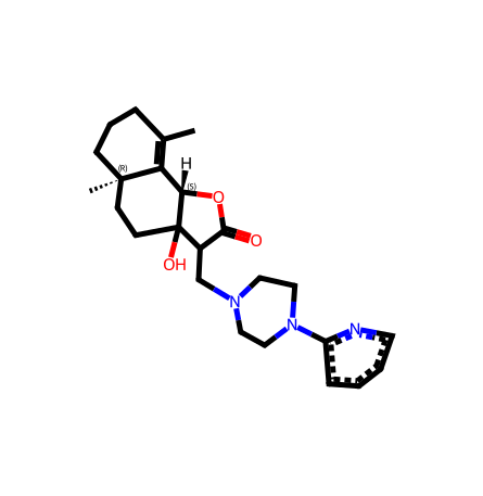 CC1=C2[C@@H]3OC(=O)C(CN4CCN(c5ccccn5)CC4)C3(O)CC[C@@]2(C)CCC1